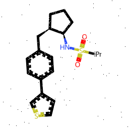 CC(C)S(=O)(=O)N[C@@H]1CCC[C@@H]1Cc1ccc(-c2ccsc2)cc1